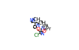 Cc1cc(-c2ccnn2C)c2cccc(OCc3c(Cl)cncc3CN(C(=O)C(C)C)C(C)C)c2n1